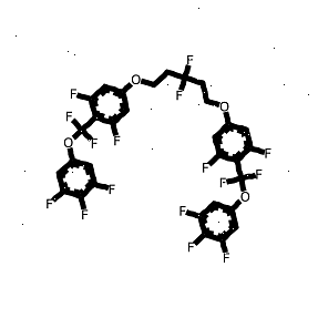 Fc1cc(OC(F)(F)c2c(F)cc(OCCC(F)(F)CCOc3cc(F)c(C(F)(F)Oc4cc(F)c(F)c(F)c4)c(F)c3)cc2F)cc(F)c1F